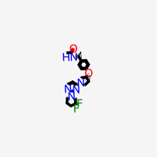 CC(=O)N[C@@H](C)c1ccc(O[C@@H]2CCN(c3ccnc(N4CCCC(F)(F)C4)n3)C2)cc1